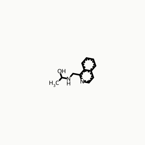 CC(O)NCc1nccc2ccccc12